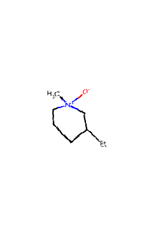 CCC1CCC[N+](C)([O-])C1